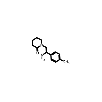 Cc1ccc(C(N)CN2CCCCC2=O)cc1